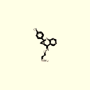 CNCCON=C1c2ccccc2OC2(c3ccc(Cl)cc3)CC12